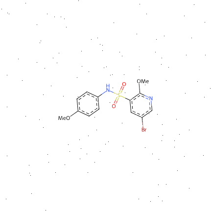 COc1ccc(NS(=O)(=O)c2cc(Br)cnc2OC)cc1